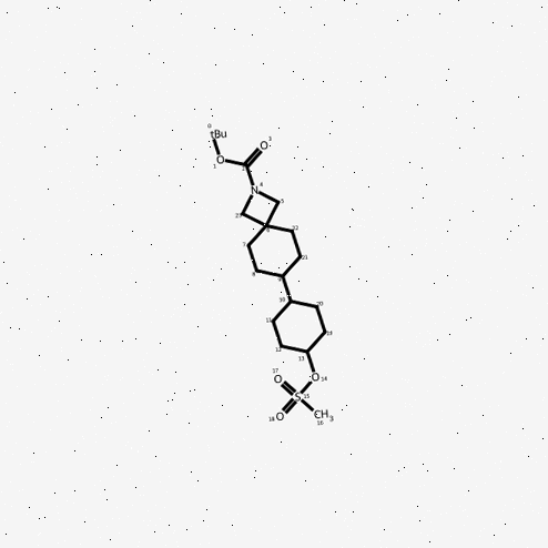 CC(C)(C)OC(=O)N1CC2(CCC(C3CCC(OS(C)(=O)=O)CC3)CC2)C1